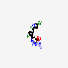 C[C@@H]1[C@@](C)(C(=O)N(C)C)SC(N)=N[C@]1(C)c1cc(/C=C(\F)c2ccc(Cl)cn2)ccc1F